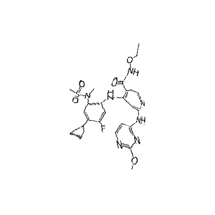 CCONC(=O)c1cnc(Nc2ccnc(OC)n2)cc1Nc1cc(F)c(C2CC2)cc1N(C)S(C)(=O)=O